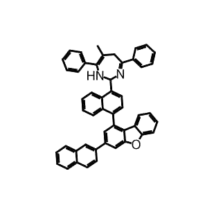 CC1=C(c2ccccc2)NC(c2ccc(-c3cc(-c4ccc5ccccc5c4)cc4oc5ccccc5c34)c3ccccc23)N=C(c2ccccc2)C1